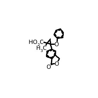 CC1(C(=O)O)CC1(Oc1ccccc1)c1ccc2c(c1)COC2=O